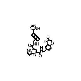 O=C1COc2ccc(CNC(=O)c3cc(C(=O)NCC45C6C7C4C4C5C6C74c4ncn[nH]4)n4nccc4n3)cc2N1